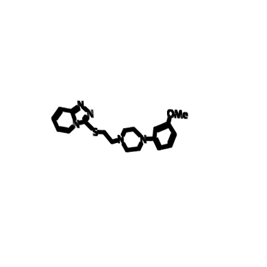 COc1cccc(N2CCN(CCSc3nnc4ccccn34)CC2)c1